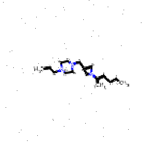 CCCCC(C)N1CC(CN2CCN(CCC)CC2)C1